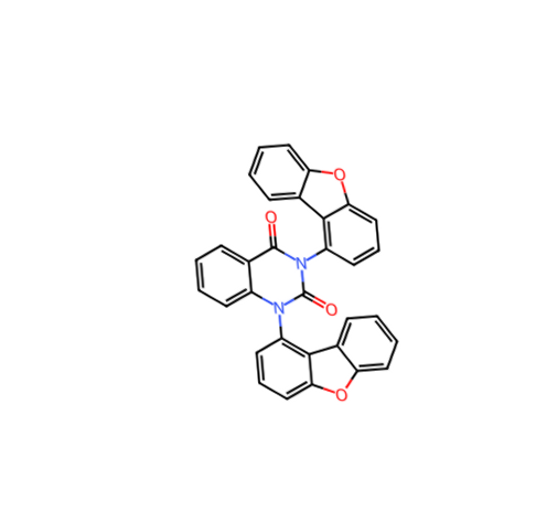 O=c1c2ccccc2n(-c2cccc3oc4ccccc4c23)c(=O)n1-c1cccc2oc3ccccc3c12